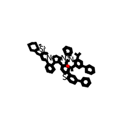 CC(C)c1cc(-c2ccccc2)cc(C(C)C)c1-n1c2ccccc2[n+]2c3c(c4cc5sc6ccc(-c7ccccc7)cc6c5cc4c12)C1c2ccccc2-c2cc(CC4CCCCC4)c([Si](C)(C)C)c[n+]2C1C3